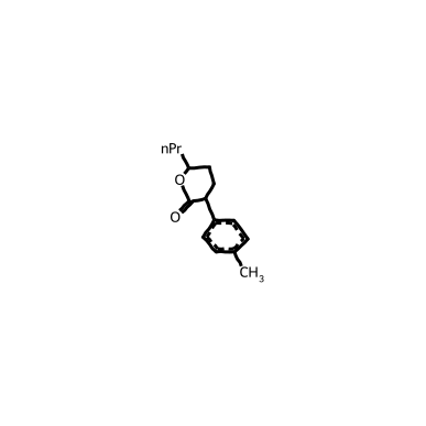 CCCC1CCC(c2ccc(C)cc2)C(=O)O1